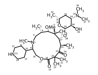 CO[C@]1(C)C[C@@H](C)CN(C)C(C2CCNCC2)COC(=O)C(C)(C)C(=O)[C@H](C)[C@H]1O[C@@H]1O[C@H](C)C[C@H](N(C)C)[C@H]1O